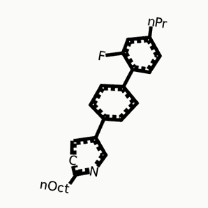 CCCCCCCCc1ccc(-c2ccc(-c3ccc(CCC)cc3F)cc2)cn1